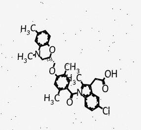 Cc1ccc2c(c1)N(C)C[C@@H](COc1cc(C)c(C(=O)n3c(C)c(CC(=O)O)c4cc(Cl)ccc43)cc1C)O2